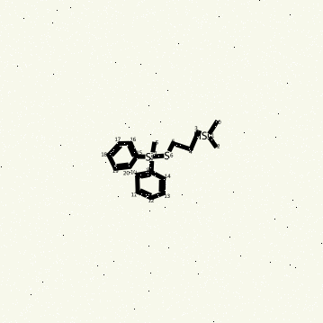 C[SiH](C)CCCS[Si](C)(c1ccccc1)c1ccccc1